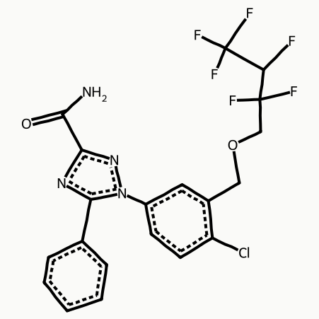 NC(=O)c1nc(-c2ccccc2)n(-c2ccc(Cl)c(COCC(F)(F)C(F)C(F)(F)F)c2)n1